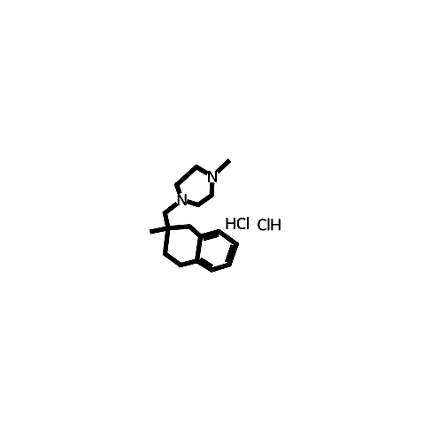 CN1CCN(CC2(C)CCc3ccccc3C2)CC1.Cl.Cl